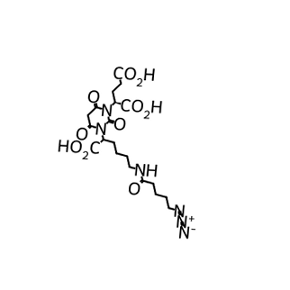 [N-]=[N+]=NCCCCC(=O)NCCCCC(C(=O)O)N1C(=O)CC(=O)N([C@@H](CCC(=O)O)C(=O)O)C1=O